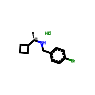 C[C@H](NCc1ccc(Br)cc1)C1CCC1.Cl